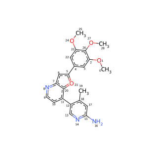 COc1cc(-c2cc3nccc(-c4cnc(N)cc4C)c3o2)cc(OC)c1OC